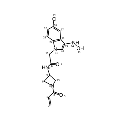 C=CC(=O)N1CC(NC(=O)Cn2cc(NO)c3cc(Cl)ccc32)C1